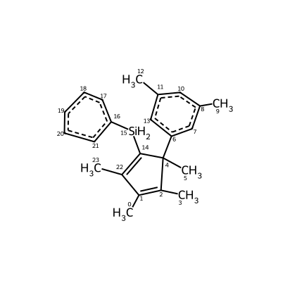 CC1=C(C)C(C)(c2cc(C)cc(C)c2)C([SiH2]c2ccccc2)=C1C